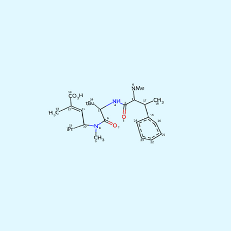 CNC(C(=O)NC(C(=O)N(C)C(C=C(C)C(=O)O)C(C)C)C(C)(C)C)C(C)c1ccccc1